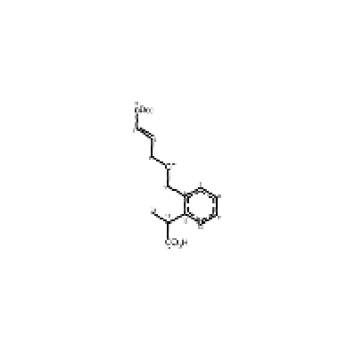 CCCCCCCCCCC=CCOCc1ccccc1C(C)C(=O)O